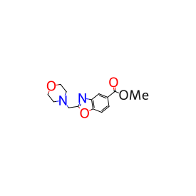 COC(=O)c1ccc2oc(CN3CCOCC3)nc2c1